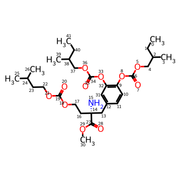 CCC(C)COC(=O)Oc1ccc(C[C@](N)(CCOC(=O)OCCC(C)C)C(=O)OC)cc1OC(=O)OCC(C)CC